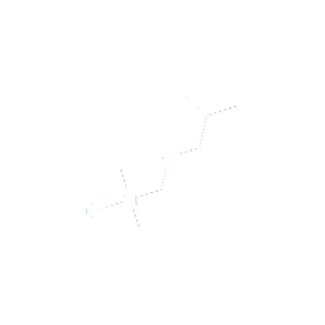 CC(C)COC[Si](C)(C)Cl